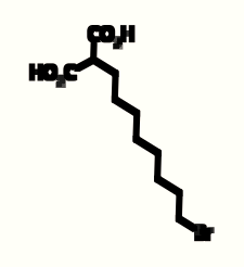 O=C(O)C(CCCCCCCCBr)C(=O)O